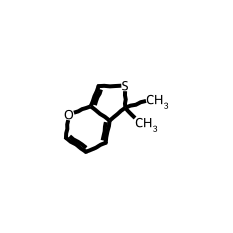 CC1(C)SC=C2OC=CC=C21